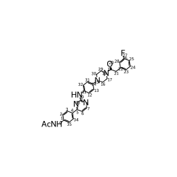 CC(=O)Nc1ccc(-c2ccnc(Nc3ccc(N4CCN(C(=O)Cc5cccc(F)c5)CC4)cc3)n2)cc1